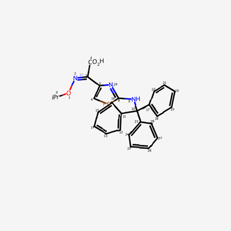 CC(C)O/N=C(/C(=O)O)c1csc(NC(c2ccccc2)(c2ccccc2)c2ccccc2)n1